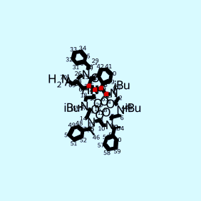 CC[C@H](C)N(CC(=O)N(CC(=O)N(CC(=O)N(CC(=O)N(CC(=O)N(CC(=O)N(CC(C)=O)[C@@H](C)c1ccccc1)[C@@H](C)c1ccccc1)[C@@H](C)CC)[C@@H](C)c1ccccc1)[C@@H](C)c1ccccc1)[C@@H](C)CC)C(=O)CNCCCCN